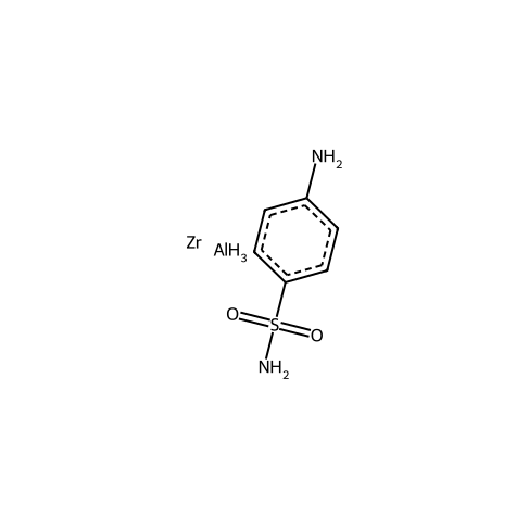 Nc1ccc(S(N)(=O)=O)cc1.[AlH3].[Zr]